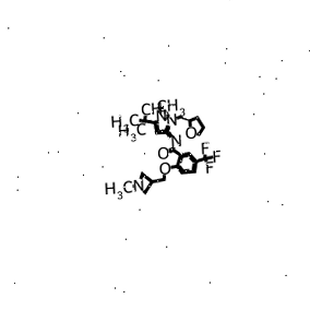 CN1CC(COc2ccc(C(F)(F)F)cc2C(=O)/N=c2\cc(C(C)(C)C)n(C)n2C[C@H]2CCCO2)C1